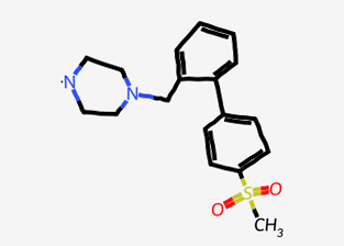 CS(=O)(=O)c1ccc(-c2ccccc2CN2CC[N]CC2)cc1